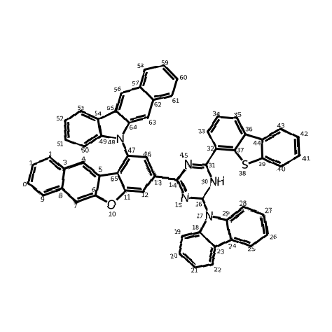 c1ccc2cc3c(cc2c1)oc1cc(C2=NC(n4c5ccccc5c5ccccc54)NC(c4cccc5c4sc4ccccc45)=N2)cc(-n2c4ccccc4c4cc5ccccc5cc42)c13